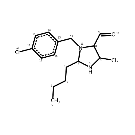 CCCCC1NC(Cl)C(C=O)N1Cc1ccc(Cl)cc1